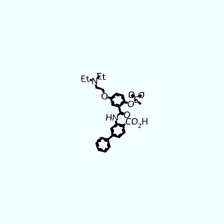 CCN(CC)CCOc1ccc(OS(C)(=O)=O)c(C(=O)Nc2cc(-c3ccccc3)ccc2C(=O)O)c1